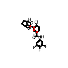 O=C(Nc1cc(F)c(F)c(F)c1)c1ccc(Cl)c(S(=O)(=O)C2C3CC[C@H]2C[C@H](CCCO)C3)c1